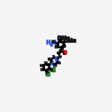 COc1cc(C(=O)CCN2CCN(c3cccc(Cl)c3Cl)CC2)cc(N)c1OC